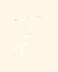 C[C@H]1C[C@H](N=[N+]=[N-])CN(C(=O)OCc2ccccc2)C1